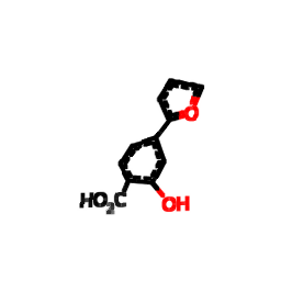 O=C(O)c1ccc(-c2ccco2)cc1O